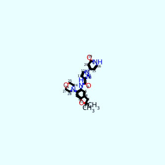 CC1(C)Cc2cc(NC(=O)c3ccn(-c4cc[nH]c(=O)c4)n3)c(N3CCOCC3)cc2O1